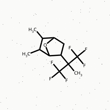 CC1C2CC(C(C)(C(F)(F)F)C(F)(F)F)C(O2)C1C